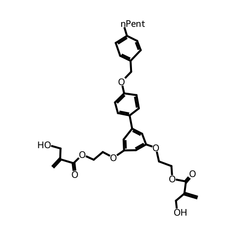 C=C(CO)C(=O)OCCOc1cc(OCCOC(=O)C(=C)CO)cc(-c2ccc(OCc3ccc(CCCCC)cc3)cc2)c1